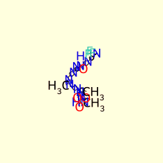 CNC(=O)C(CCC=O)N(C=O)Cc1nc(N2CCC(CN3CCN(CC4CCN(c5ccc(NC(=O)C6CCN(c7ccc(C#N)c(C(F)(F)F)c7)CC6)nc5)CC4)CC3C)CC2)ccc1C